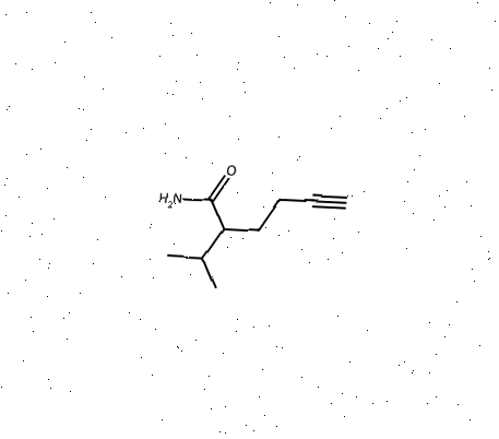 C#CCCC(C(N)=O)C(C)C